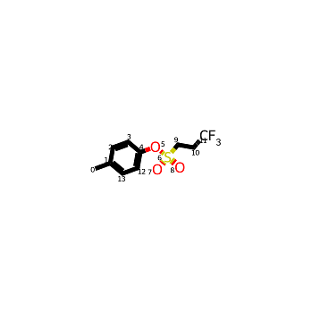 Cc1ccc(OS(=O)(=O)CCC(F)(F)F)cc1